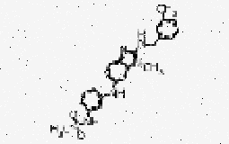 Cc1cccc(CNc2nc3cnc(Nc4cccc(NS(C)(=O)=O)c4)cc3n2C)c1